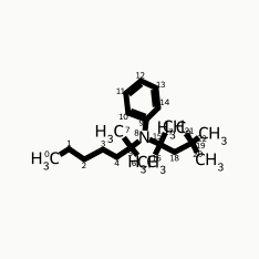 CCCCCC(C)(C)N(c1ccccc1)C(C)(C)CC(C)(C)C